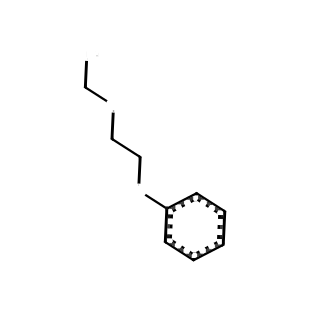 CC(C)(C)COCCOc1ccccc1